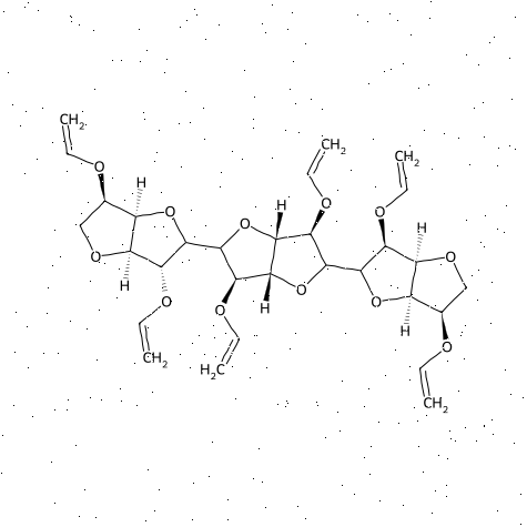 C=CO[C@@H]1C(C2O[C@H]3[C@H](OC(C4O[C@H]5[C@H](OC[C@H]5OC=C)[C@H]4OC=C)[C@@H]3OC=C)[C@H]2OC=C)O[C@H]2[C@@H]1OC[C@H]2OC=C